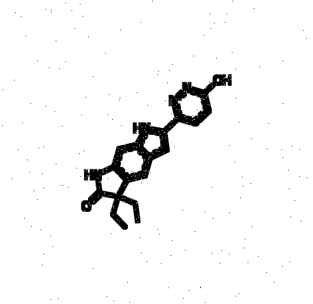 CCC1(CC)C(=O)Nc2cc3[nH]c(-c4ccc(O)nn4)cc3cc21